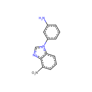 Nc1cccc(-n2cnc3c([N+](=O)[O-])cccc32)c1